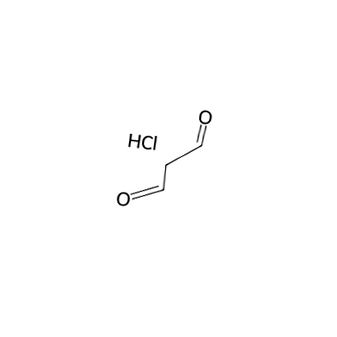 Cl.O=CCC=O